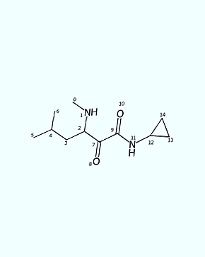 CNC(CC(C)C)C(=O)C(=O)NC1CC1